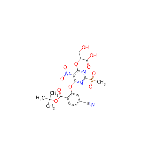 CC(C)(C)OC(=O)c1ccc(C#N)cc1Oc1nc(S(C)(=O)=O)nc(OC(CO)C(=O)O)c1[N+](=O)[O-]